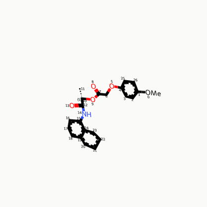 COc1ccc(OCC(=O)O[C@@H](C)C(=O)Nc2cccc3ccccc23)cc1